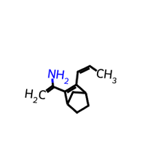 C=C(N)C1=C(/C=C\C)C2CCC1C2